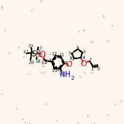 C=CCO[C@@H]1CCC[C@H]1Oc1ccc(CO[Si](C)(C)C(C)(C)C)cc1N